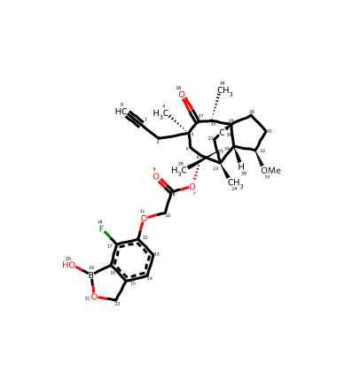 C#CC[C@]1(C)C[C@@H](OC(=O)COc2ccc3c(c2F)B(O)OC3)[C@]2(C)[C@H](C)CC[C@]3(CC[C@@H](OC)[C@@H]32)[C@@H](C)C1=O